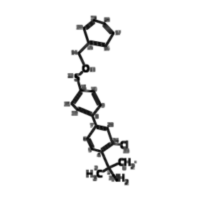 [CH2]C(C)(N)c1ccc(-c2ccc(SOCc3ccccc3)cc2)cc1Cl